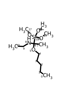 CCCCCOC(C)(NCC)[Si](OC)(OC)OC